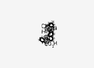 O=C(O)c1ccccc1S(=O)(=O)N1CCCc2ccc(NS(=O)(=O)c3c(Cl)cccc3Cl)cc21